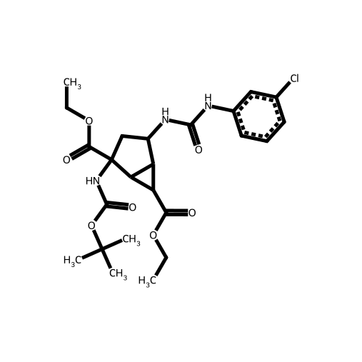 CCOC(=O)C1C2C(NC(=O)Nc3cccc(Cl)c3)CC(NC(=O)OC(C)(C)C)(C(=O)OCC)C12